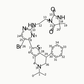 CC(C)N1Cc2cc(-c3nc(NCCN4C(=O)NC(C)(C)C4=O)ncc3Br)sc2C(c2ccccc2)C1